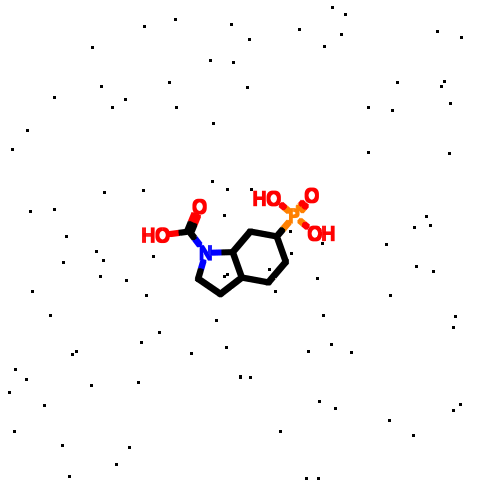 O=C(O)N1CCC2CCC(P(=O)(O)O)CC21